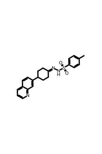 Cc1ccc(S(=O)(=O)NN=C2CCC(c3ccc4cccnc4c3)CC2)cc1